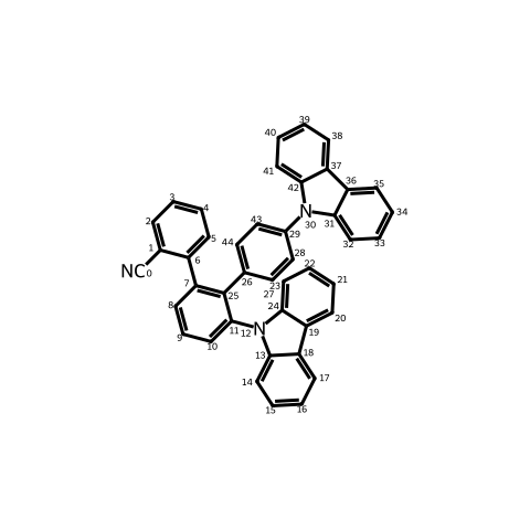 N#Cc1ccccc1-c1cccc(-n2c3ccccc3c3ccccc32)c1-c1ccc(-n2c3ccccc3c3ccccc32)cc1